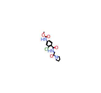 COC(=O)Nc1ccc(C(=O)NCC(=O)N2CCCC2)c(Cl)c1